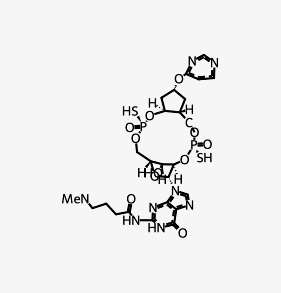 CNCCCC(=O)Nc1nc2c(ncn2[C@@H]2O[C@@H]3CO[P@@](=O)(S)O[C@H]4C[C@H](Oc5ccncn5)C[C@@H]4CO[P@@](=O)(S)O[C@@H]2[C@@H]3O)c(=O)[nH]1